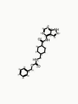 O=C(NCC1CCC(C(=O)Nc2ncnc3[nH]ncc23)CC1)OCc1ccccc1